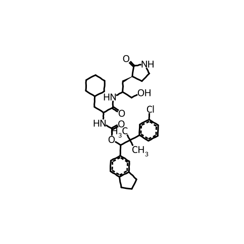 CC(C)(c1cccc(Cl)c1)C(OC(=O)NC(CC1CCCCC1)C(=O)NC(CO)C[C@@H]1CCNC1=O)c1ccc2c(c1)CCC2